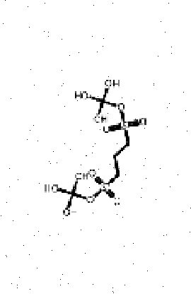 O=S(=O)(CCCS(=O)(=O)OC(O)(O)O)OC(O)(O)O